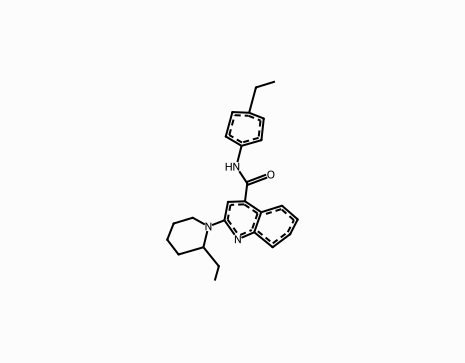 CCc1ccc(NC(=O)c2cc(N3CCCCC3CC)nc3ccccc23)cc1